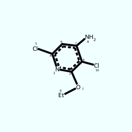 CCOc1nc(Cl)cc(N)c1Cl